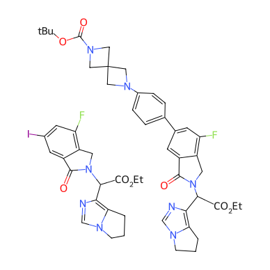 CCOC(=O)C(c1ncn2c1CCC2)N1Cc2c(F)cc(-c3ccc(N4CC5(CN(C(=O)OC(C)(C)C)C5)C4)cc3)cc2C1=O.CCOC(=O)C(c1ncn2c1CCC2)N1Cc2c(F)cc(I)cc2C1=O